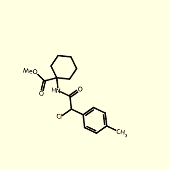 COC(=O)C1(NC(=O)C(Cl)c2ccc(C)cc2)CCCCC1